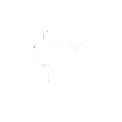 CCC1(C(O)C/C=C/C2[C@@H](CCCc3ccc(C(=O)OC)s3)CC[C@H]2C#N)CCC1